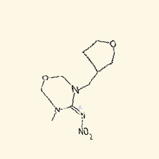 CN1COCN(CC2CCOC2)/C1=N/[N+](=O)[O-]